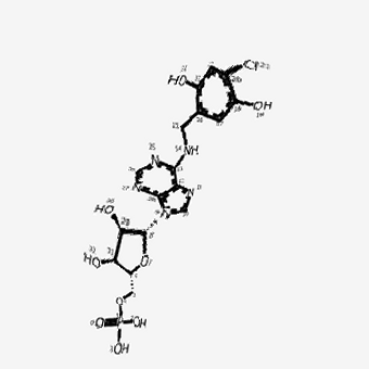 O=P(O)(O)OC[C@H]1O[C@@H](n2cnc3c(NCc4cc(O)c(Cl)cc4O)ncnc32)[C@H](O)[C@@H]1O